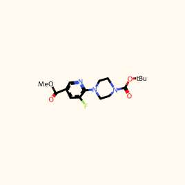 COC(=O)c1cnc(N2CCN(C(=O)OC(C)(C)C)CC2)c(F)c1